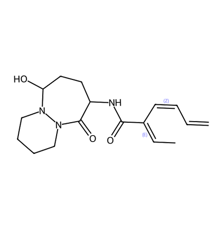 C=C/C=C\C(=C/C)C(=O)NC1CCC(O)N2CCCCN2C1=O